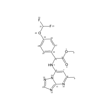 COC(=O)C(Nc1cc(C)nc2ncnn12)c1ccc(OC(F)F)cc1